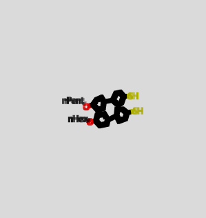 CCCCCCOc1ccc(-c2ccc(S)cc2)cc1.CCCCCOc1ccc(-c2ccc(S)cc2)cc1